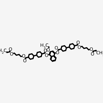 C=CC(=O)OCCCCOC(=O)C1CCC(C2CCC(C(=O)Oc3cc(OCC)c(OC(=O)C4CCC(C5CCC(C(=O)OCCCCOC(=O)C=C)CC5)CC4)c4ccccc34)CC2)CC1